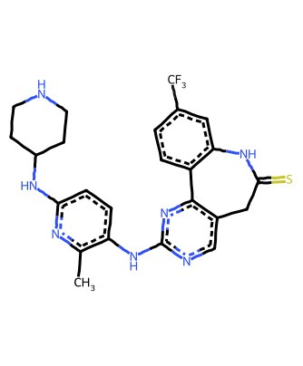 Cc1nc(NC2CCNCC2)ccc1Nc1ncc2c(n1)-c1ccc(C(F)(F)F)cc1NC(=S)C2